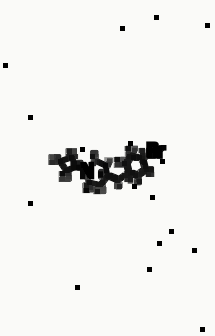 Brc1ccc(C=C2CCN(C3CCC3)CC2)cc1